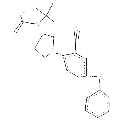 CC(C)(C)N(C(=O)O)[C@H]1CCN(c2ccc(Oc3ccccc3)cc2C#N)C1